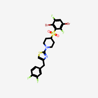 O=S(=O)(c1c(F)c(Br)cc(F)c1Br)C1CCN(c2nc(Cc3ccc(F)c(F)c3)cs2)CC1